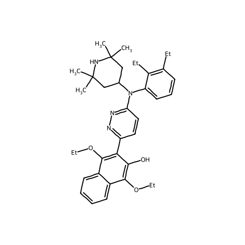 CCOc1c(O)c(-c2ccc(N(c3cccc(CC)c3CC)C3CC(C)(C)NC(C)(C)C3)nn2)c(OCC)c2ccccc12